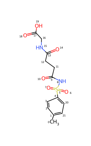 Cc1ccc(S(=O)(=O)NC(=O)CCC(=O)NCC(=O)O)cc1